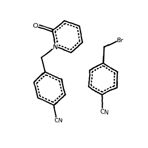 N#Cc1ccc(CBr)cc1.N#Cc1ccc(Cn2ccccc2=O)cc1